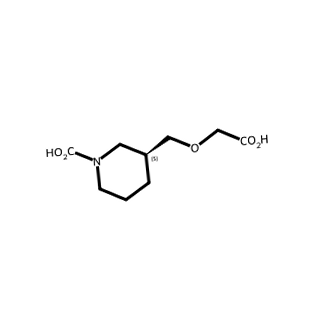 O=C(O)COC[C@H]1CCCN(C(=O)O)C1